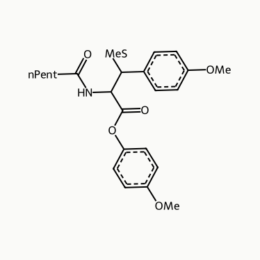 CCCCCC(=O)NC(C(=O)Oc1ccc(OC)cc1)C(SC)c1ccc(OC)cc1